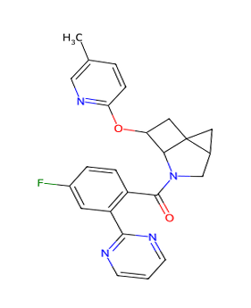 Cc1ccc(OC2CC34CC3CN(C(=O)c3ccc(F)cc3-c3ncccn3)C24)nc1